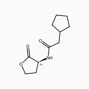 O=C(CC1CCCC1)N[C@H]1CCOC1=O